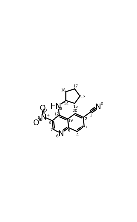 N#Cc1ccc2ncc([N+](=O)[O-])c(NC3CCCC3)c2c1